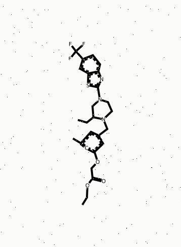 CCOC(=O)COc1cc(C)cc(CN2CCN(c3nc4ccc(C(F)(F)F)cc4s3)CC2CC)c1